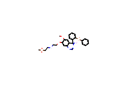 COc1cc2c(cc1OCCNCCS(C)(=O)=O)NC=NC2(N)c1ccccc1S(=O)(=O)c1ccccc1